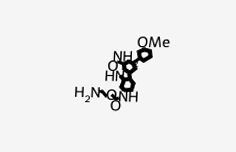 COc1cccc(-c2cc(C(N)=O)c3[nH]c4cc(NC(=O)OCCN)ccc4c3c2)c1